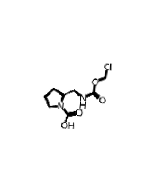 O=C(NC[C@@H]1CCCN1C(=O)O)OCCl